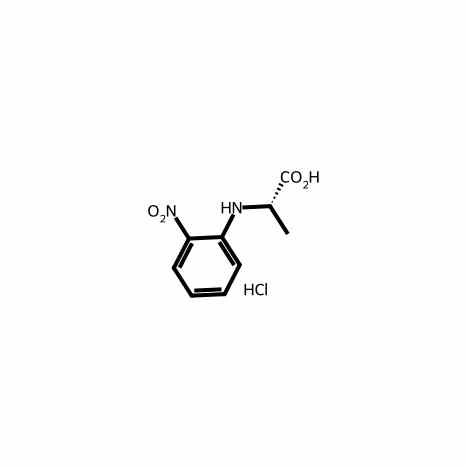 C[C@H](Nc1ccccc1[N+](=O)[O-])C(=O)O.Cl